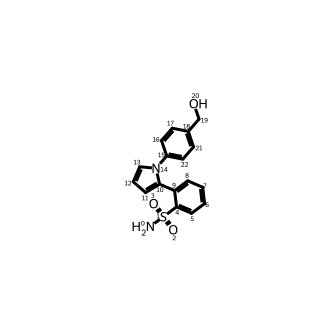 NS(=O)(=O)c1ccccc1-c1cccn1-c1ccc(CO)cc1